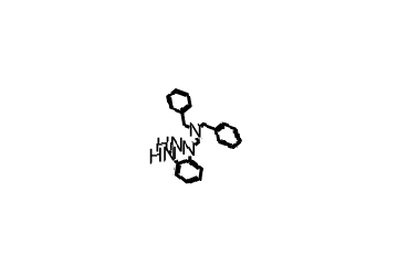 c1ccc(CN(Cc2ccccc2)CN2NNc3ccccc32)cc1